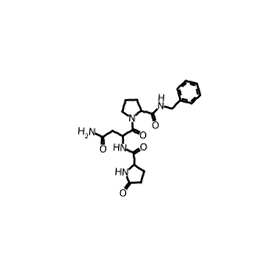 NC(=O)CC(NC(=O)C1CCC(=O)N1)C(=O)N1CCCC1C(=O)NCc1ccccc1